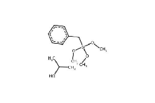 CC(C)O.CO[Si](Cc1ccccc1)(OC)OC